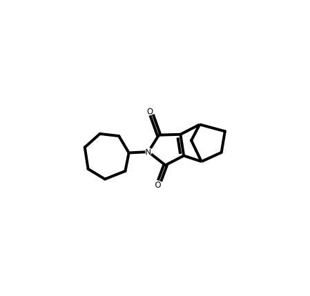 O=C1C2=C(C(=O)N1C1CCCCCC1)C1CCC2C1